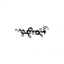 CCSC1(CNc2cc(NC(=O)N3CCCc4cc(CN5CCN(C)CC5=O)c(C=O)nc43)ncc2C#N)CC1